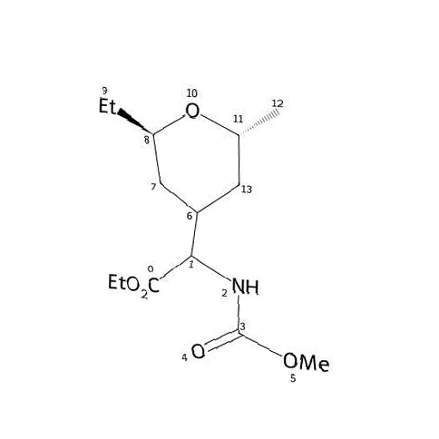 CCOC(=O)C(NC(=O)OC)C1C[C@@H](CC)O[C@H](C)C1